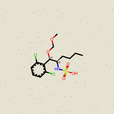 CCCC[C@@H](NS(=O)(=O)O)[C@H](OCOC)c1c(Cl)cccc1Cl